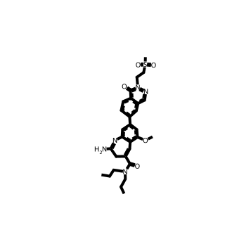 CCCN(CCC)C(=O)C1=Cc2c(cc(-c3ccc4c(=O)n(CCS(C)(=O)=O)ncc4c3)cc2OC)N=C(N)C1